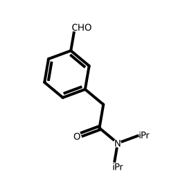 CC(C)N(C(=O)Cc1cccc(C=O)c1)C(C)C